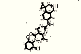 Cc1nn(-c2c(Cl)cccc2Cl)c(=O)c2cnc(Nc3ccc4c(c3)CNCC43CC3)nc12